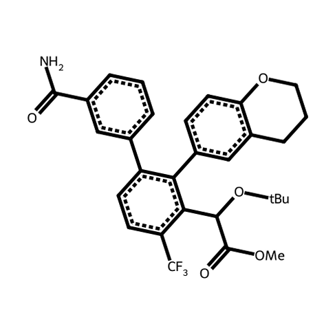 COC(=O)C(OC(C)(C)C)c1c(C(F)(F)F)ccc(-c2cccc(C(N)=O)c2)c1-c1ccc2c(c1)CCCO2